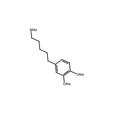 CNCCCCCc1ccc(OC)c(OC)c1